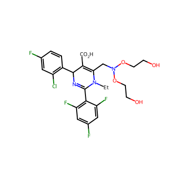 CCN1C(c2c(F)cc(F)cc2F)=NC(c2ccc(F)cc2Cl)C(C(=O)O)=C1CN(OCCO)OCCO